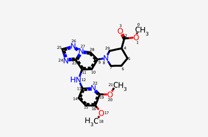 COC(=O)C1CCCN(c2cc(Nc3ccc(OC)c(OC)n3)c3ncnn3c2)C1